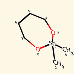 [CH3][Sn]1([CH3])[O]CCCC[O]1